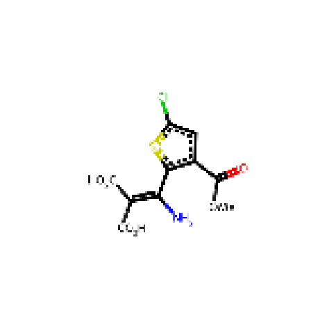 COC(=O)c1cc(Cl)sc1C(N)=C(C(=O)O)C(=O)O